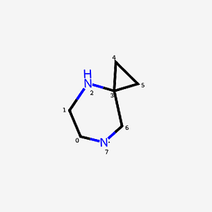 C1CNC2(CC2)C[N]1